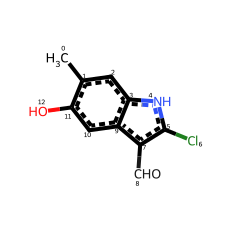 Cc1cc2[nH]c(Cl)c(C=O)c2cc1O